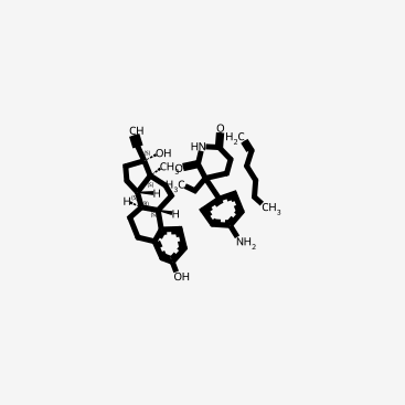 C#C[C@]1(O)CC[C@H]2[C@@H]3CCc4cc(O)ccc4[C@H]3CC[C@@]21C.C=CCCCC.CCC1(c2ccc(N)cc2)CCC(=O)NC1=O